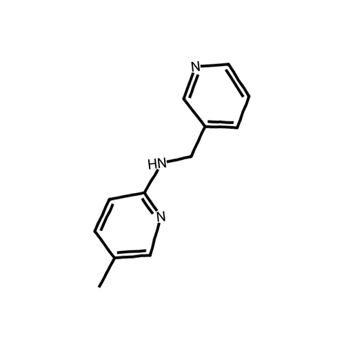 Cc1ccc(NCc2cccnc2)nc1